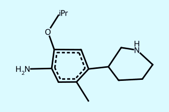 Cc1cc(N)c(OC(C)C)cc1C1CCCNC1